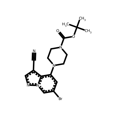 CC(C)(C)OC(=O)N1CCN(c2cc(Br)cn3ncc(C#N)c23)CC1